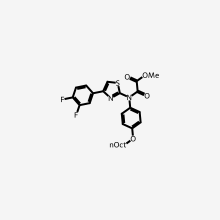 CCCCCCCCOc1ccc(N(C(=O)C(=O)OC)c2nc(-c3ccc(F)c(F)c3)cs2)cc1